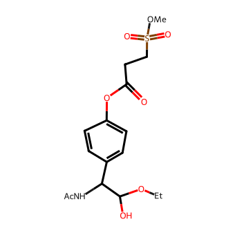 CCOC(O)C(NC(C)=O)c1ccc(OC(=O)CCS(=O)(=O)OC)cc1